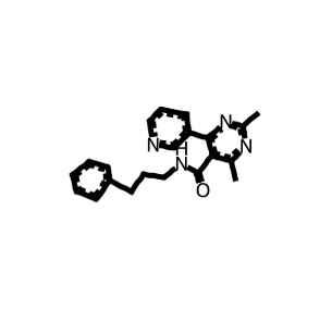 Cc1nc(C)c(C(=O)NCCCc2ccccc2)c(-c2cccnc2)n1